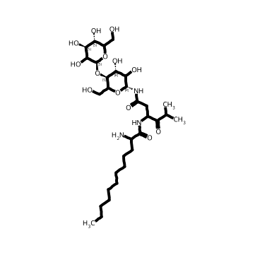 CCCCCCCCCCC(N)C(=O)NC(CC(=O)N[C@@H]1OC(CO)[C@@H](O[C@@H]2OC(CO)[C@@H](O)[C@H](O)C2O)[C@H](O)C1O)C(=O)C(C)C